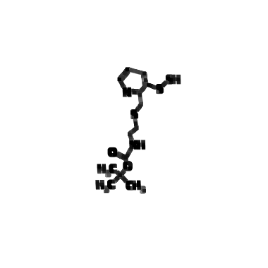 CC(C)(C)OC(=O)NCCSCc1ncccc1SS